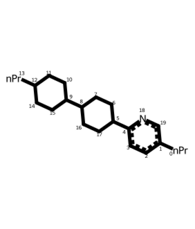 CCCc1ccc(C2CCC(C3CCC(CCC)CC3)CC2)nc1